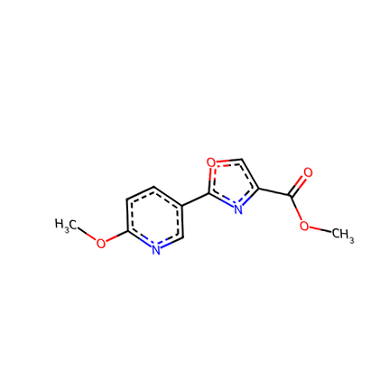 COC(=O)c1coc(-c2ccc(OC)nc2)n1